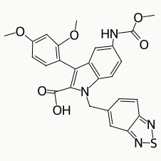 COC(=O)Nc1ccc2c(c1)c(-c1ccc(OC)cc1OC)c(C(=O)O)n2Cc1ccc2nsnc2c1